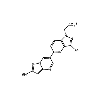 CC(=O)c1nn(CC(=O)O)c2ccc(-c3cnc4cc(C(C)(C)C)nn4c3)cc12